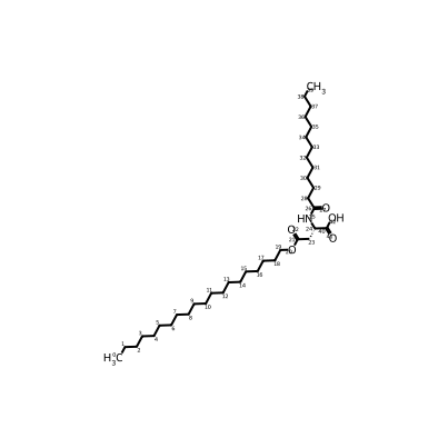 CCCCCCCCCCCCCCCCCCCCOC(=O)C[C@H](NC(=O)CCCCCCCCCCCC)C(=O)O